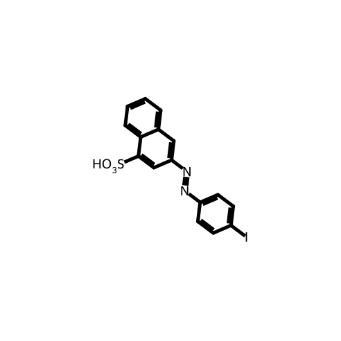 O=S(=O)(O)c1cc(/N=N/c2ccc(I)cc2)cc2ccccc12